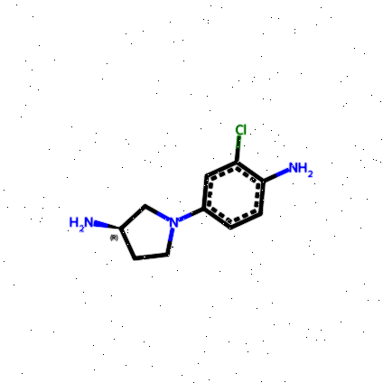 Nc1ccc(N2CC[C@@H](N)C2)cc1Cl